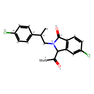 CNC(=O)C1c2cc(Cl)ccc2C(=O)N1CC(C)c1ccc(Cl)cc1